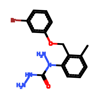 Cc1cccc(N(N)C(=O)NN)c1COc1cccc(Br)c1